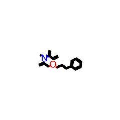 C=CC(=C)N(C)C(=C)COCCCc1ccccc1